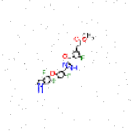 COC(=O)CCc1cc(F)cc(C(=O)c2c[nH]c(-c3cc(Oc4c(F)cc5[nH]ccc5c4F)ccc3F)n2)c1